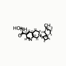 CN1CC[C@@]2(CC[C@@H]2N2CCc3cc(C(=O)NO)cnc3C2)C1